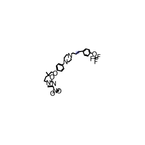 CC1(COc2ccc(N3CCN(C/C=C/c4ccc(OC(F)(F)F)cc4)CC3)cc2)CCn2cc([N+](=O)[O-])nc2O1